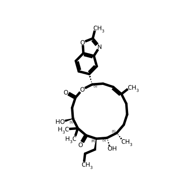 CCC[C@H]1C(=O)C(C)(C)[C@@H](O)CC(=O)O[C@H](c2ccc3oc(C)nc3c2)CC=C(C)CCC[C@H](C)[C@@H]1O